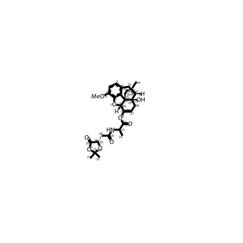 COc1ccc2c3c1O[C@H]1C(OC(=O)C(C)NC(=O)C[C@@H]4OC(C)(C)OC4=O)=CC[C@@]4(O)[C@@H](C2)N(C)CC[C@]314